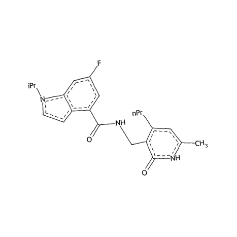 CCCc1cc(C)[nH]c(=O)c1CNC(=O)c1cc(F)cc2c1ccn2C(C)C